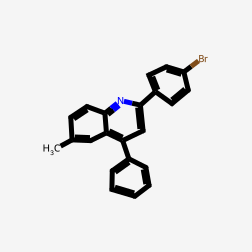 Cc1ccc2nc(-c3ccc(Br)cc3)cc(-c3ccccc3)c2c1